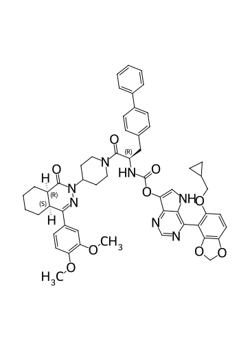 COc1ccc(C2=NN(C3CCN(C(=O)[C@@H](Cc4ccc(-c5ccccc5)cc4)NC(=O)Oc4c[nH]c5c(-c6c(OCC7CC7)ccc7c6OCO7)ncnc45)CC3)C(=O)[C@@H]3CCCC[C@H]23)cc1OC